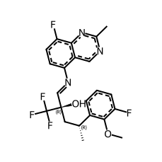 COc1c(F)cccc1[C@H](C)C[C@@](O)(C=Nc1ccc(F)c2nc(C)ncc12)C(F)(F)F